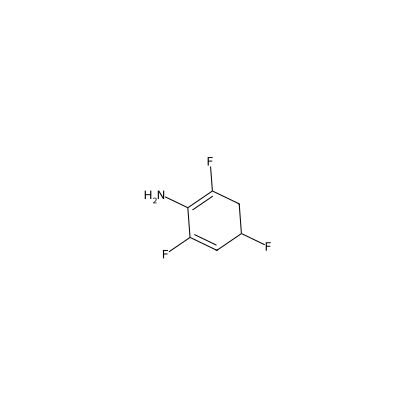 NC1=C(F)CC(F)C=C1F